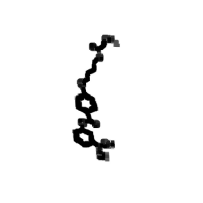 C=CC(=O)OCCCCOc1ccc(C(=O)Oc2cccc(B(O)O)c2)cc1